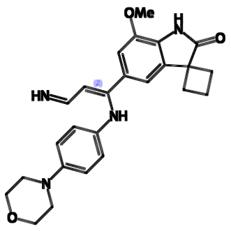 COc1cc(/C(=C/C=N)Nc2ccc(N3CCOCC3)cc2)cc2c1NC(=O)C21CCC1